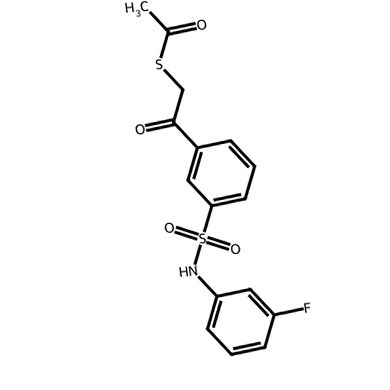 CC(=O)SCC(=O)c1cccc(S(=O)(=O)Nc2cccc(F)c2)c1